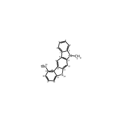 Cn1c2ccccc2c2cc3c(cc21)sc1cccc(C(C)(C)C)c13